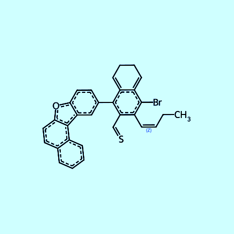 CC/C=C\c1c(C=S)c(-c2ccc3oc4ccc5ccccc5c4c3c2)c2c(c1Br)=CCCC=2